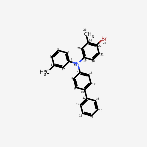 Cc1cccc(N(c2ccc(-c3ccccc3)cc2)c2ccc(Br)c(C)c2)c1